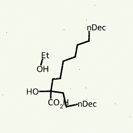 CCCCCCCCCCCCCCCCC(O)(CCCCCCCCCCCC)C(=O)O.CCO